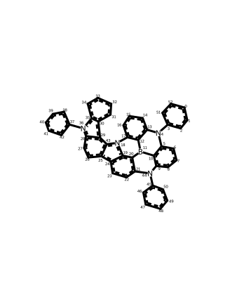 c1ccc(N2c3cccc4c3B3c5c2cccc5-n2c5c3c(ccc5c3ccc5c(c6ccccc6n5-c5ccccc5)c32)N4c2ccccc2)cc1